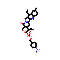 CCc1c2c(nc3ccc(C)cc13)-c1cc3c(c(=O)n1C2)COC(=O)C3(CC)OC(=O)OCc1ccc(NC)cc1